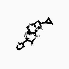 O=c1[nH]c2c(cnc3cc(C4CC4)nn32)nc1-c1cccs1